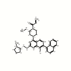 C=CC(=O)N1CCN(c2nc(OC[C@@H]3CCCN3C)nc3c(F)c(-c4cccc5ccccc45)ncc23)C[C@@H]1CC#N